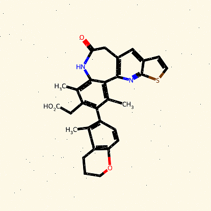 Cc1c(-c2c(C)c3c(c(C)c2CC(=O)O)NC(=O)Cc2cc4ccsc4nc2-3)ccc2c1CCCO2